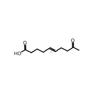 CC(=O)CC/C=C/CCCC(=O)O